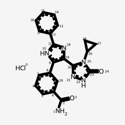 Cl.NC(=O)c1cccc(-c2[nH]c(-c3ccccc3)nc2-c2n[nH]c(=O)n2C2CC2)c1